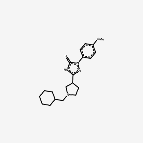 COc1ccc(-n2nc(C3CCN(CC4CCCCC4)C3)[nH]c2=O)cc1